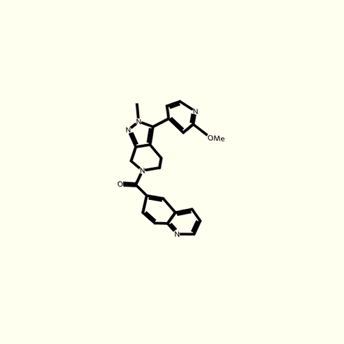 COc1cc(-c2c3c(nn2C)CN(C(=O)c2ccc4ncccc4c2)CC3)ccn1